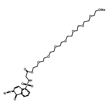 COCCOCCOCCOCCOCCOCCOCCOCCOC(=O)CNS(=O)(=O)c1cccc2c1C=CC(=[N+]=[N-])C2=O